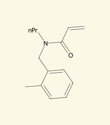 C=CC(=O)N(CCC)Cc1ccccc1C